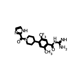 Cc1cc(C2CCN(C(=O)c3ncc[nH]3)CC2)c(C(F)(F)F)cc1C(=O)NC(=N)N